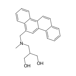 CN(Cc1cc2c3ccccc3ccc2c2ccccc12)CC(CO)CO